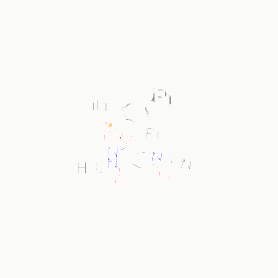 CC(C)c1cc(C(C)C)c(S(=O)(=O)Oc2nn(C)c(=O)c3cc(=O)n(C4(C#N)CC4)cc23)c(C(C)C)c1